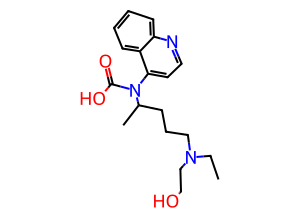 CCN(CCO)CCCC(C)N(C(=O)O)c1ccnc2ccccc12